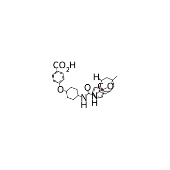 CC12CC3CC(NC(=O)NC4CCC(Oc5ccc(C(=O)O)cc5)CC4)(C[C@@H](C1)c1ccccc13)O2